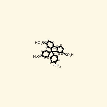 Cc1ccc(C2(c3ccc(C)cc3)c3cc(S(=O)(=O)O)ccc3-c3ccc(S(=O)(=O)O)cc32)cc1